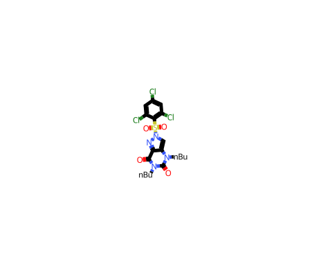 CCCCn1c(=O)c2nn(S(=O)(=O)c3c(Cl)cc(Cl)cc3Cl)cc2n(CCCC)c1=O